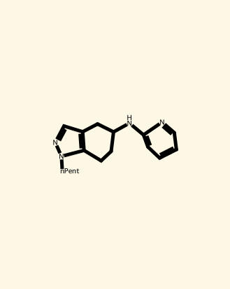 CCCCCn1ncc2c1CCC(Nc1ccccn1)C2